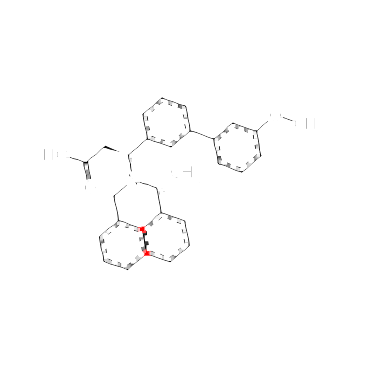 COc1cccc(-c2cccc([C@H](CC(=O)O)N(Cc3ccccc3)[C@H](C)c3ccccc3)c2)c1